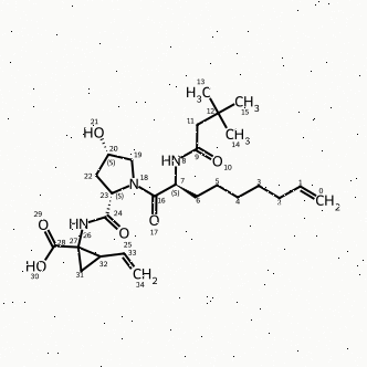 C=CCCCCC[C@H](NC(=O)CC(C)(C)C)C(=O)N1C[C@@H](O)C[C@H]1C(=O)NC1(C(=O)O)CC1C=C